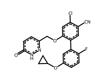 N#Cc1cc(-c2cc(OC3CC3)ccc2F)c(OCc2ccc(=O)[nH]n2)cc1Cl